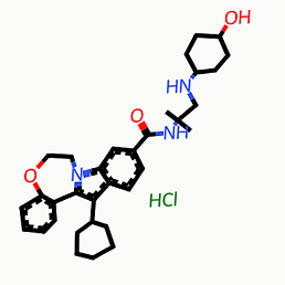 CC(C)(CNC1CCC(O)CC1)NC(=O)c1ccc2c(C3CCCCC3)c3n(c2c1)CCOc1ccccc1-3.Cl